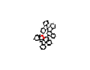 CC1(C)c2ccccc2-c2cccc(N(c3ccccc3)c3ccc4c(c3)C3(c5ccccc5-4)c4ccccc4-c4c3cc(N(c3ccccc3)c3ccccc3)c3ccccc43)c21